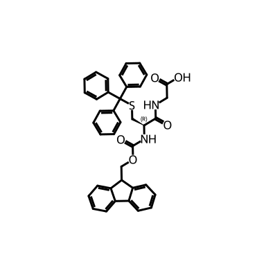 O=C(O)CNC(=O)[C@H](CSC(c1ccccc1)(c1ccccc1)c1ccccc1)NC(=O)OCC1c2ccccc2-c2ccccc21